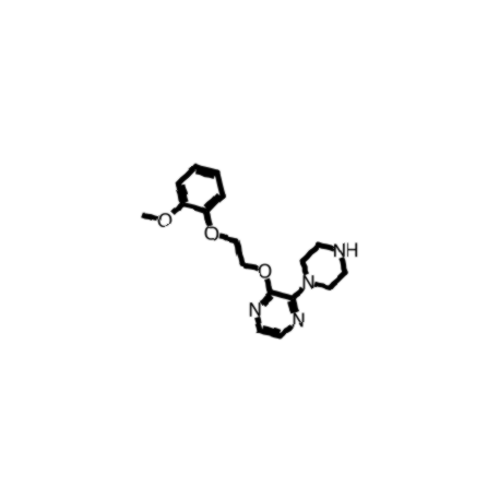 COc1ccccc1OCCOc1nccnc1N1CCNCC1